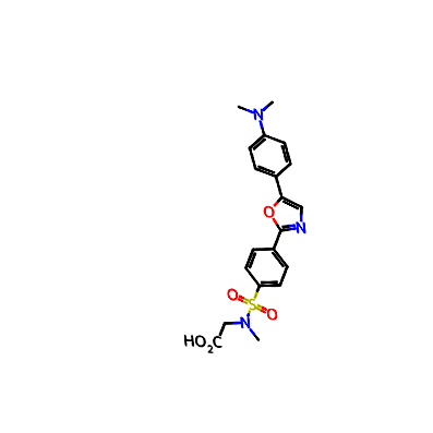 CN(C)c1ccc(-c2cnc(-c3ccc(S(=O)(=O)N(C)CC(=O)O)cc3)o2)cc1